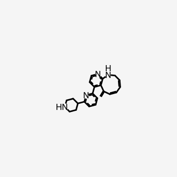 C=C1/C=C\C=C/CNc2nccc(-c3cccc(C4CCNCC4)n3)c21